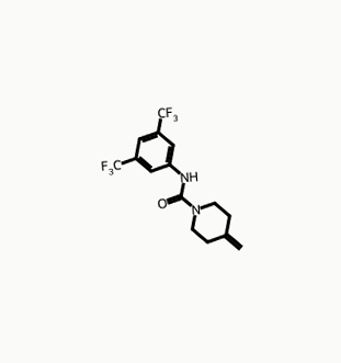 C=C1CCN(C(=O)Nc2cc(C(F)(F)F)cc(C(F)(F)F)c2)CC1